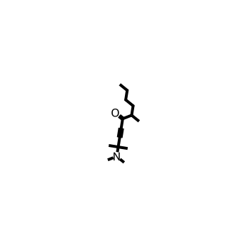 CCCCC(C)C(=O)C#CC(C)(C)N(C)C